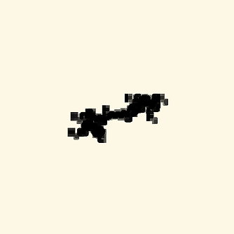 COc1ccc2c(c1)C(c1ccc(Cl)cc1)=N[C@@H](CC(=O)NCCCCCCC(=O)N1CCN(S(=O)(=O)c3cc(-c4c(C)noc4C)ccc3C)CC1)c1nnc(C)n1-2